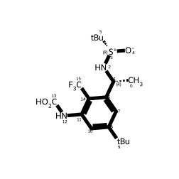 C[C@@H](N[S@@+]([O-])C(C)(C)C)c1cc(C(C)(C)C)cc(NC(=O)O)c1C(F)(F)F